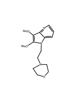 COc1c(OC)n(CCN2CCOCC2)c2cccnc12